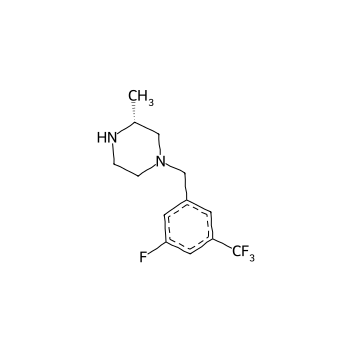 C[C@@H]1CN(Cc2cc(F)cc(C(F)(F)F)c2)CCN1